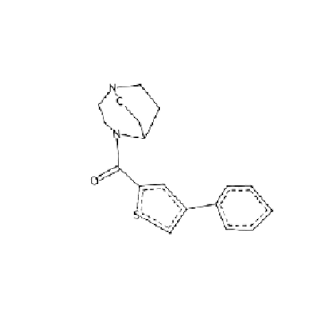 O=C(c1cc(-c2ccccc2)cs1)N1CCN2CCC1CC2